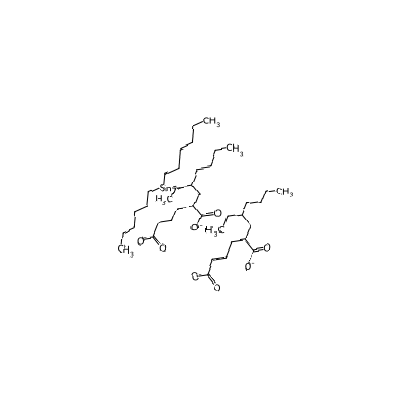 CCCCC(CC)CC(CCCC(=O)[O-])C(=O)[O-].CCCCC(CC)CC(CCCC(=O)[O-])C(=O)[O-].CCCCC[CH2][Sn+4][CH2]CCCCC